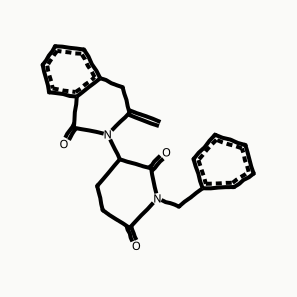 C=C1Cc2ccccc2C(=O)N1C1CCC(=O)N(Cc2ccccc2)C1=O